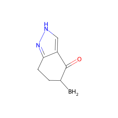 BC1CCc2n[nH]cc2C1=O